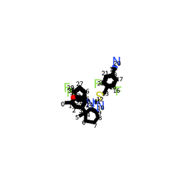 Cc1cc(C2(C)CCCc3nc(SCc4c(F)cc(C#N)cc4F)n(-c4ccc(F)cc4)c32)ccc1F